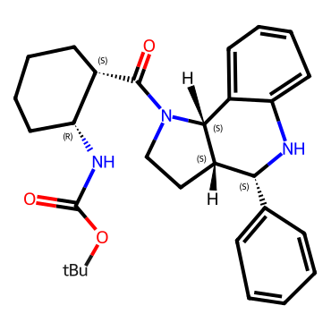 CC(C)(C)OC(=O)N[C@@H]1CCCC[C@@H]1C(=O)N1CC[C@H]2[C@@H](c3ccccc3)Nc3ccccc3[C@H]21